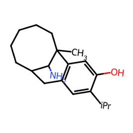 CC(C)c1cc2c(cc1O)C1(C)CCCCCC(C2)C1N